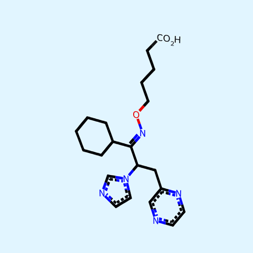 O=C(O)CCCCO/N=C(\C1CCCCC1)C(Cc1cnccn1)n1ccnc1